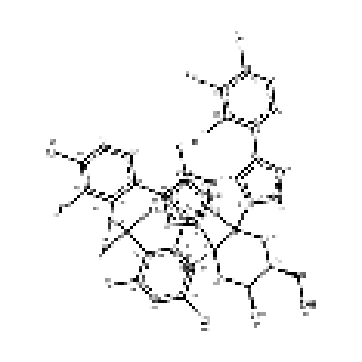 Cc1nc(C2(n3cc(-c4ccc(Cl)c(F)c4F)cn3)O[C@@H](CO)[C@@H](O)C[C@@]2(O)n2cc(-c3ccc(Cl)c(F)c3F)cn2)n(-c2cc(Cl)cc(C)c2C(F)(F)F)n1